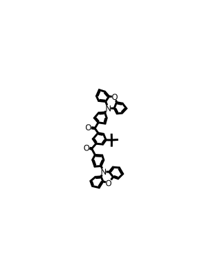 CC(C)(C)c1cc(C(=O)c2ccc(N3c4ccccc4Oc4ccccc43)cc2)cc(C(=O)c2ccc(N3c4ccccc4Oc4ccccc43)cc2)c1